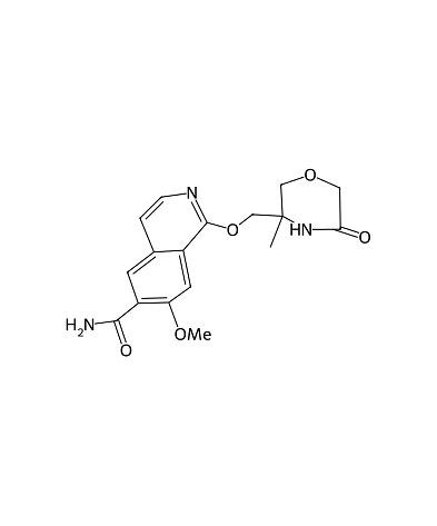 COc1cc2c(OCC3(C)COCC(=O)N3)nccc2cc1C(N)=O